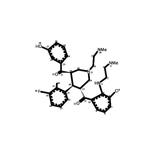 CNCCNc1c(Cl)cccc1C(=O)[C@H]1CN(CCNC)C[C@H](C(=O)c2cccc(O)c2)[C@@H]1c1cccc(F)c1C